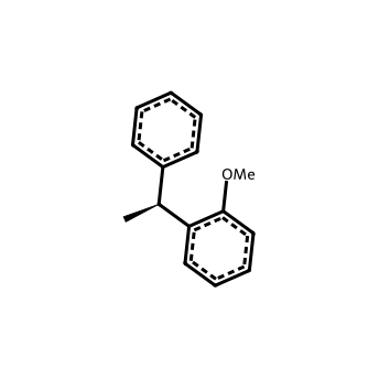 COc1ccccc1[C@@H](C)c1ccccc1